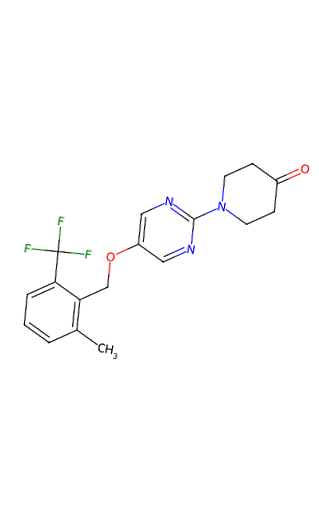 Cc1cccc(C(F)(F)F)c1COc1cnc(N2CCC(=O)CC2)nc1